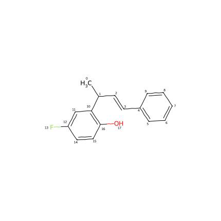 CC(C=Cc1ccccc1)c1cc(F)ccc1O